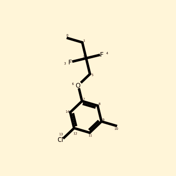 CCC(F)(F)COc1cc(C)cc(Cl)c1